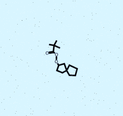 CC(C)(C)C(=O)OOC1CCC2(CCCC2)C1